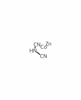 N#CNC#N.[Co].[Zn]